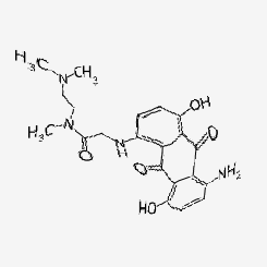 CN(C)CCN(C)C(=O)CNc1ccc(O)c2c1C(=O)c1c(O)ccc(N)c1C2=O